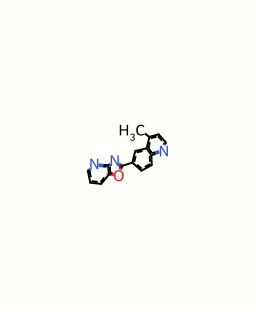 Cc1ccnc2ccc(-c3nc4ncccc4o3)cc12